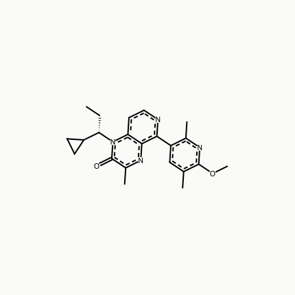 CC[C@@H](C1CC1)n1c(=O)c(C)nc2c(-c3cc(C)c(OC)nc3C)nccc21